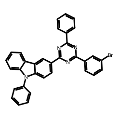 Brc1cccc(-c2nc(-c3ccccc3)nc(-c3ccc4c(c3)c3ccccc3n4-c3ccccc3)n2)c1